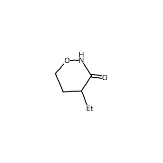 CCC1CCONC1=O